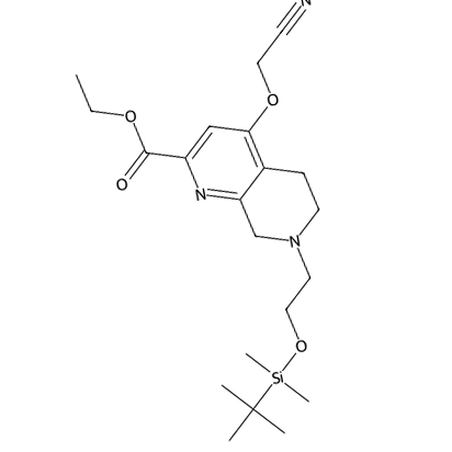 CCOC(=O)c1cc(OCC#N)c2c(n1)CN(CCO[Si](C)(C)C(C)(C)C)CC2